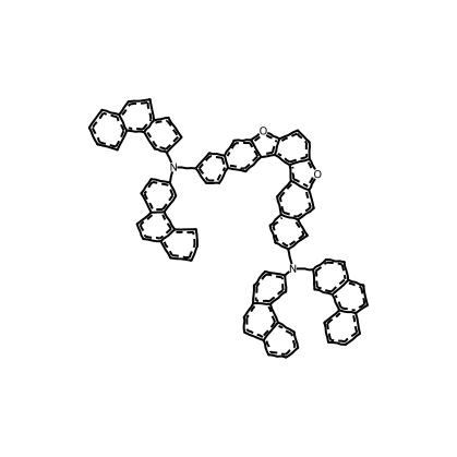 c1ccc2c(c1)ccc1ccc(N(c3ccc4cc5c(cc4c3)oc3ccc4oc6cc7cc(N(c8ccc9ccc%10ccccc%10c9c8)c8ccc9ccc%10ccccc%10c9c8)ccc7cc6c4c35)c3ccc4ccc5ccccc5c4c3)cc12